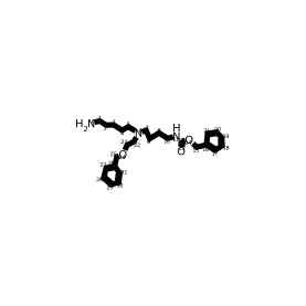 NCCCCCN(CCCCNC(=O)OCc1ccccc1)CCOCc1ccccc1